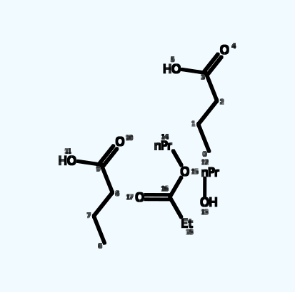 CCCC(=O)O.CCCC(=O)O.CCCO.CCCOC(=O)CC